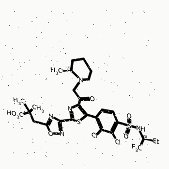 CC[C@H](NS(=O)(=O)c1ccc(-c2sc(-c3noc(CC(C)(C)C(=O)O)n3)nc2C(=O)CN2CCCC[C@@H]2C)c(Cl)c1Cl)C(F)(F)F